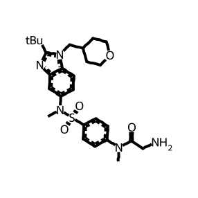 CN(C(=O)CN)c1ccc(S(=O)(=O)N(C)c2ccc3c(c2)nc(C(C)(C)C)n3CC2CCOCC2)cc1